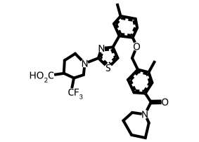 Cc1ccc(OCc2ccc(C(=O)N3CCCCC3)cc2C)c(-c2csc(N3CCC(C(=O)O)C(C(F)(F)F)C3)n2)c1